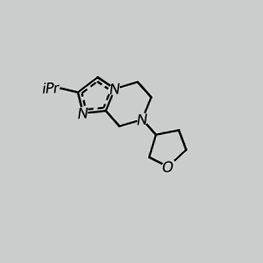 CC(C)c1cn2c(n1)CN(C1CCOC1)CC2